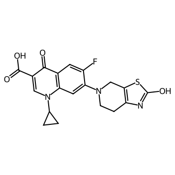 O=C(O)c1cn(C2CC2)c2cc(N3CCc4nc(O)sc4C3)c(F)cc2c1=O